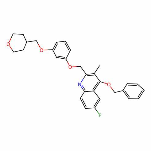 Cc1c(COc2cccc(OCC3CCOCC3)c2)nc2ccc(F)cc2c1OCc1ccccc1